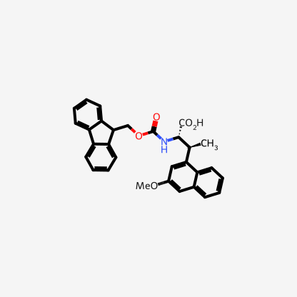 COc1cc([C@H](C)[C@H](NC(=O)OCC2c3ccccc3-c3ccccc32)C(=O)O)c2ccccc2c1